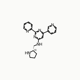 c1ccc(-c2nc(NC[C@@H]3CCCN3)cc(-c3cccnc3)n2)nc1